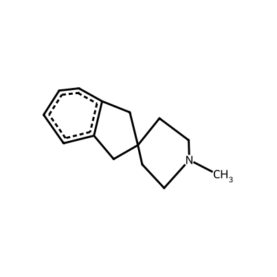 CN1CCC2(CC1)Cc1ccccc1C2